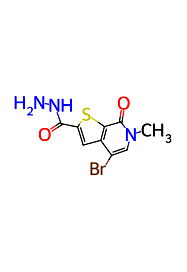 Cn1cc(Br)c2cc(C(=O)NN)sc2c1=O